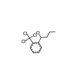 CCCC([O])c1ccccc1C(Cl)(Cl)Cl